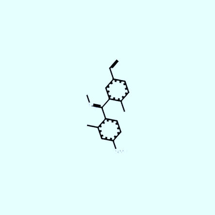 C=Cc1ccc(C)c(/C(=N\C)c2ccc(NC)cc2C)c1